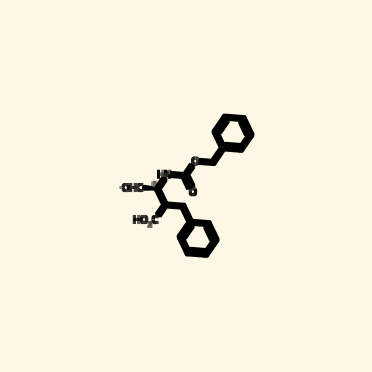 O=[C][C@@H](NC(=O)OCc1ccccc1)C(Cc1ccccc1)C(=O)O